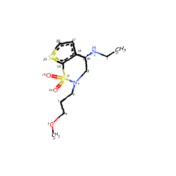 CCN[C@H]1CN(CCCOC)S(=O)(=O)c2sccc21